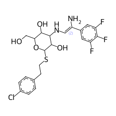 N/C(=C\NC1C(O)C(CO)OC(SCCc2ccc(Cl)cc2)C1O)c1cc(F)c(F)c(F)c1